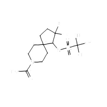 CC(C)(C)S(=O)(=O)NC1C(F)(F)CCC12CCN(C(=O)O)CC2